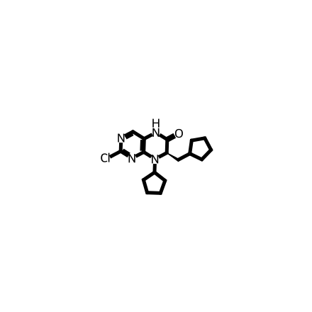 O=C1Nc2cnc(Cl)nc2N(C2CCCC2)[C@@H]1CC1CCCC1